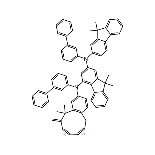 C=C1/C=C\C=C/Cc2ccc(N(c3cccc(-c4ccccc4)c3)c3cc(N(c4cccc(-c5ccccc5)c4)c4ccc5c(c4)C(C)(C)c4ccccc4-5)cc4c3-c3ccccc3C4(C)C)cc2C1(C)C